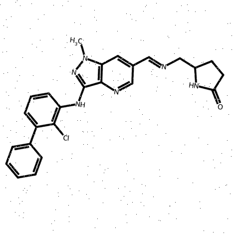 Cn1nc(Nc2cccc(-c3ccccc3)c2Cl)c2ncc(C=NCC3CCC(=O)N3)cc21